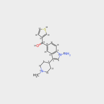 CN1CCC(c2cn(N)c3ccc(C(=O)c4ccsc4)cc23)CC1